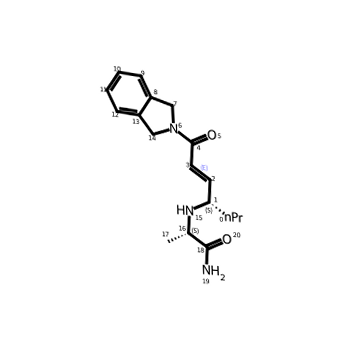 CCC[C@@H](/C=C/C(=O)N1Cc2ccccc2C1)N[C@@H](C)C(N)=O